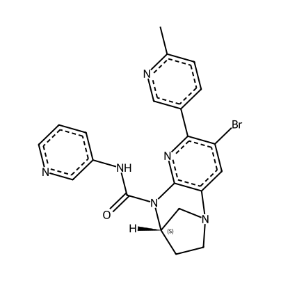 Cc1ccc(-c2nc3c(cc2Br)N2CC[C@@H](C2)N3C(=O)Nc2cccnc2)cn1